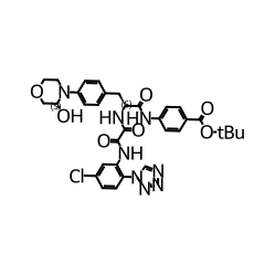 CC(C)(C)OC(=O)c1ccc(NC(=O)[C@H](Cc2ccc(N3CCOC[C@@H]3O)cc2)NC(=O)C(=O)Nc2cc(Cl)ccc2-n2cnnn2)cc1